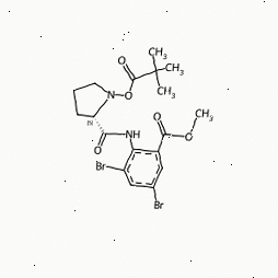 COC(=O)c1cc(Br)cc(Br)c1NC(=O)[C@@H]1CCCN1OC(=O)C(C)(C)C